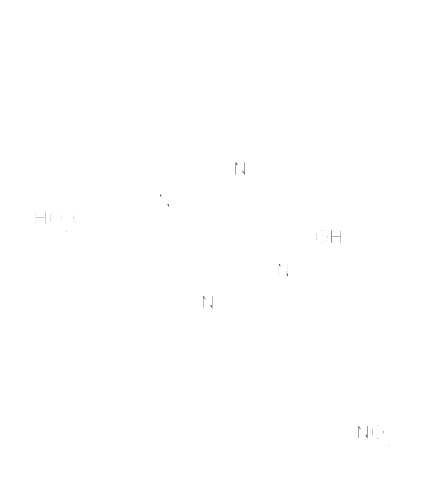 O=C(O)CN1C(c2nc3ccc([N+](=O)[O-])cc3n2O)=NC2C=CC=CC21